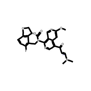 COc1cc2c(C(=O)/C=C/N(C)C)cnc(N(Cc3c(F)ccc4c3CCO4)C(=O)O)c2cn1